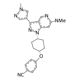 CNc1cc2c(cn1)c(-c1cnn(C)c1)nn2[C@H]1CC[C@@H](Oc2ccc(C#N)cc2)CC1